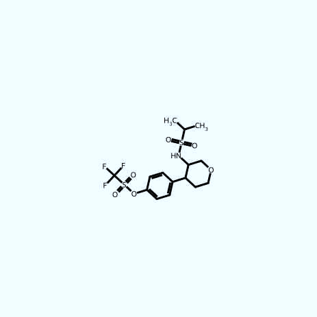 CC(C)S(=O)(=O)NC1COCCC1c1ccc(OS(=O)(=O)C(F)(F)F)cc1